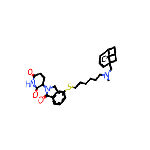 CN(CCCCCCSc1cccc2c1CN(C1CCC(=O)NC1=O)C2=O)CC12CC3CC4CC(C1)C42C3